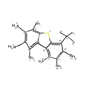 Bc1c(B)c(B)c2c(sc3c(C(C)(C)C)c(B)c(B)c(B)c32)c1B